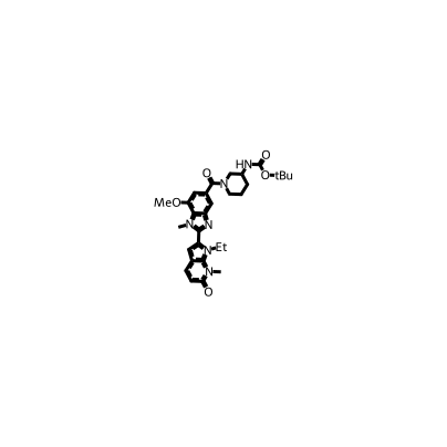 CCn1c(-c2nc3cc(C(=O)N4CCCC(NC(=O)OC(C)(C)C)C4)cc(OC)c3n2C)cc2ccc(=O)n(C)c21